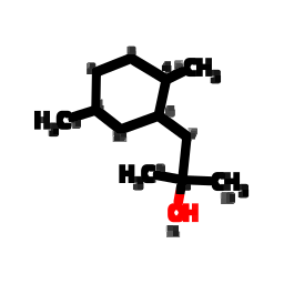 CC1CCC(C)C(CC(C)(C)O)C1